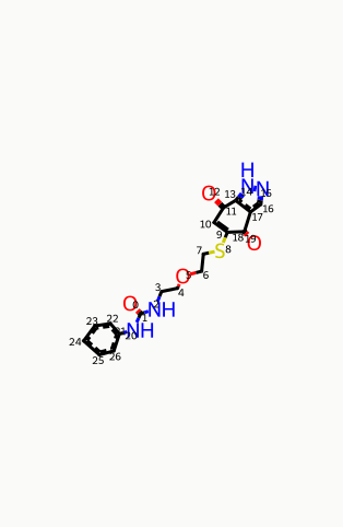 O=C(NCCOCCSC1=CC(=O)c2[nH]ncc2C1=O)Nc1ccccc1